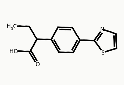 CCC(C(=O)O)c1ccc(-c2nccs2)cc1